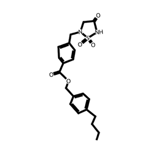 CCCCc1ccc(COC(=O)c2ccc(CN3CC(=O)NS3(=O)=O)cc2)cc1